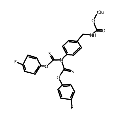 CC(C)(C)OC(=O)NCc1ccc(N(C(=S)Oc2ccc(F)cc2)C(=S)Oc2ccc(F)cc2)cc1